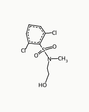 CN(CCO)S(=O)(=O)c1c(Cl)cccc1Cl